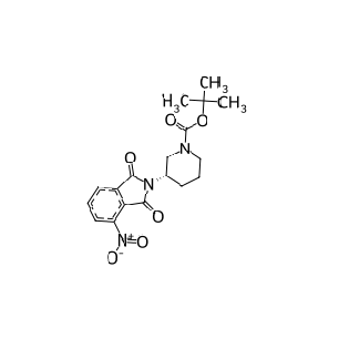 CC(C)(C)OC(=O)N1CCC[C@H](N2C(=O)c3cccc([N+](=O)[O-])c3C2=O)C1